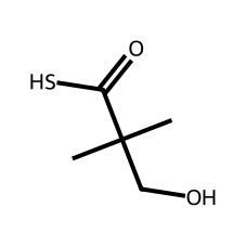 CC(C)(CO)C(=O)S